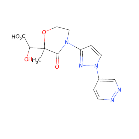 CC1(C(O)C(=O)O)OCCN(c2ccn(-c3ccnnc3)n2)C1=O